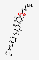 CCCCC[C@H]1CC[C@H](CC[C@H]2CC[C@H]([C@H]3CC[C@H](OC(=O)CCCC)CC3)CC2)CC1